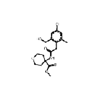 COC(=O)C1(NC(=O)Cc2c(C)cc(Cl)cc2CO)CCOCC1